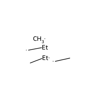 C[CH]C.[CH2]C.[CH2]CC.[CH3]